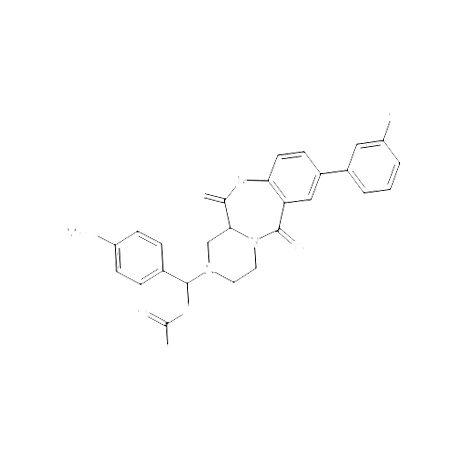 COc1ccc(C(OC(=O)C(F)(F)F)N2CCN3C(=O)c4cc(-c5cccc(C(F)(F)F)c5)ccc4NC(=O)C3C2)cc1